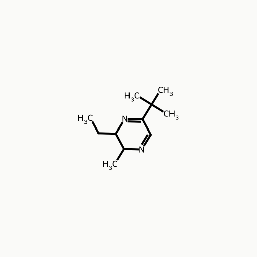 CCC1N=C(C(C)(C)C)C=NC1C